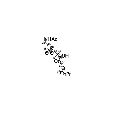 CCCC(=O)OCOC(=O)[C@H](O)C(C)(C)COS(=O)(=O)CCCNC(C)=O